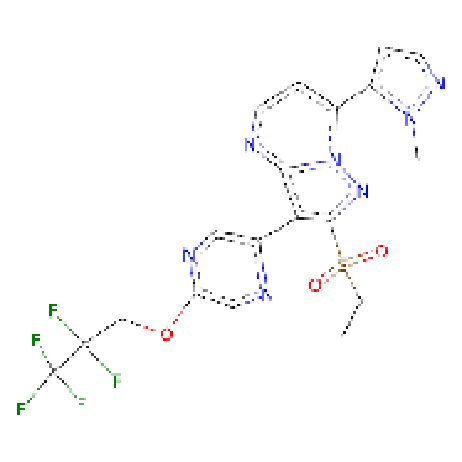 CCS(=O)(=O)c1nn2c(-c3ccnn3C)ccnc2c1-c1cnc(OCC(F)(F)C(F)(F)F)cn1